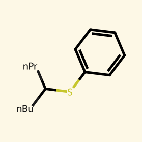 C[CH]CCC(CCC)Sc1ccccc1